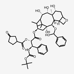 CC1C2[C@H](O)[C@H](O)[C@]3(C)[C@@H]([C@@H](OC(O)c4ccccc4)[C@@](O)(C[C@H]1OC(=O)[C@@H](OC(=O)C1CCC(=O)C1)[C@H](NC(=O)OC(C)(C)C)c1ccccc1)C2(C)C)[C@H]1COC1C[C@H]3O